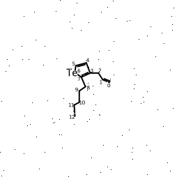 C=CCc1cc[te]c1CCCCC